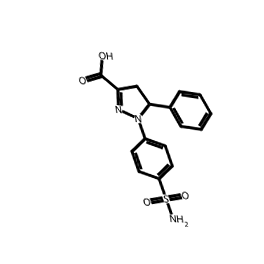 NS(=O)(=O)c1ccc(N2N=C(C(=O)O)CC2c2ccccc2)cc1